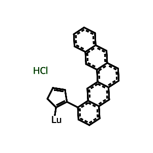 Cl.[Lu][C]1=C(c2cccc3cc4ccc5cc6ccccc6cc5c4cc23)C=CC1